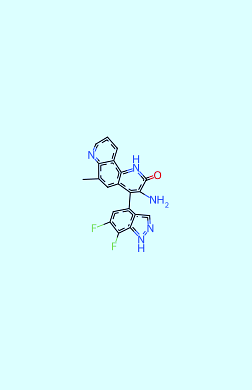 Cc1cc2c(-c3cc(F)c(F)c4[nH]ncc34)c(N)c(=O)[nH]c2c2cccnc12